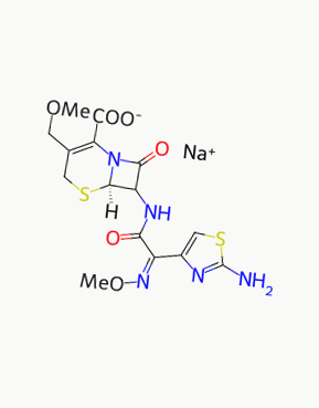 COCC1=C(C(=O)[O-])N2C(=O)C(NC(=O)/C(=N\OC)c3csc(N)n3)[C@H]2SC1.[Na+]